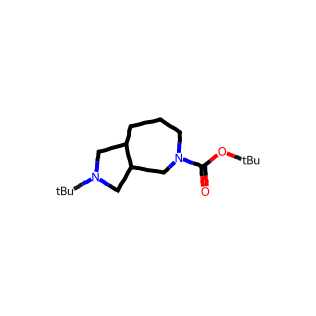 CC(C)(C)OC(=O)N1CCCC2CN(C(C)(C)C)CC2C1